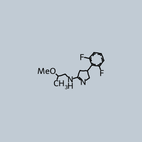 COC(C)CNC1=NCC(c2c(F)cccc2F)C1